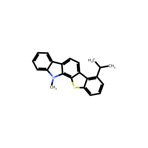 CC(C)c1cccc2sc3c(ccc4c5ccccc5n(C)c43)c12